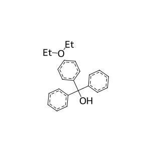 CCOCC.OC(c1ccccc1)(c1ccccc1)c1ccccc1